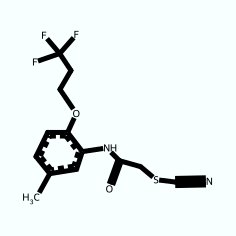 Cc1ccc(OCCC(F)(F)F)c(NC(=O)CSC#N)c1